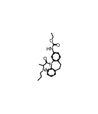 CCCNC(C)C(=O)N1c2ccccc2CCc2ccc(NC(=O)OCC)cc21